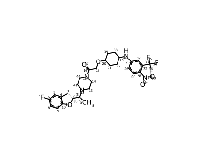 C[C@@H]([C@H]1Cc2cc(F)ccc2O1)N1CCN(C(=O)COC2CCC(Nc3ccc([N+](=O)[O-])c(C(F)(F)F)c3)CC2)CC1